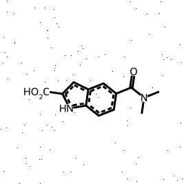 CN(C)C(=O)c1ccc2[nH]c(C(=O)O)cc2c1